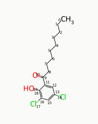 CCCCCCCCCC(=O)c1cc(Cl)cc(Cl)c1O